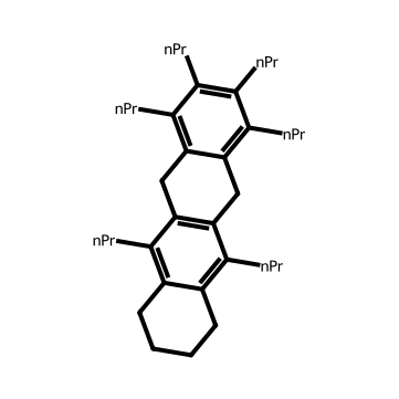 CCCc1c(CCC)c(CCC)c2c(c1CCC)Cc1c(CCC)c3c(c(CCC)c1C2)CCCC3